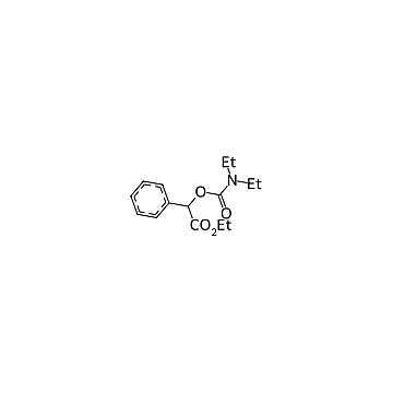 CCOC(=O)C(OC(=O)N(CC)CC)c1ccccc1